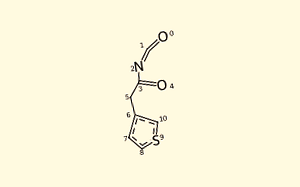 O=C=NC(=O)Cc1ccsc1